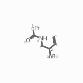 C=CC(CCCC)CNC(=O)CCC